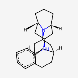 c1ccc(N[C@@H]2C[C@H]3CCC[C@@H](C2)N3[C@@H]2C[C@@H]3CCC[C@@H](C3)C2)cc1